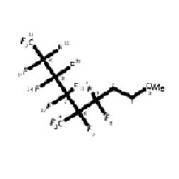 COCCC(F)(F)C(F)(C(F)(F)F)C(F)(F)C(F)(F)C(F)(F)C(F)(F)F